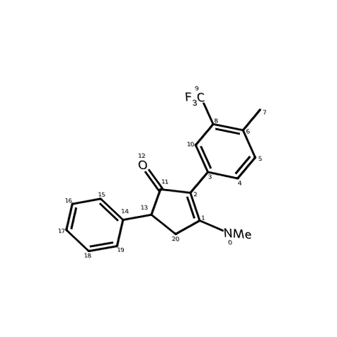 CNC1=C(c2ccc(C)c(C(F)(F)F)c2)C(=O)C(c2ccccc2)C1